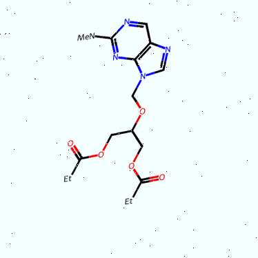 CCC(=O)OCC(COC(=O)CC)OCn1cnc2cnc(NC)nc21